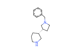 c1ccc(CN2CCC([C@H]3CCCNC3)C2)cc1